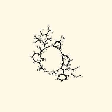 CCn1c(-c2cnccc2COC)c2c3cc(ccc31)-c1cc(O)cc(c1)C[C@H](NC(=O)C(C(C)C)N(C)S(C)(=O)=O)C(=O)N1CCC[C@H](N1)C(=O)OCC(C)(C)C2